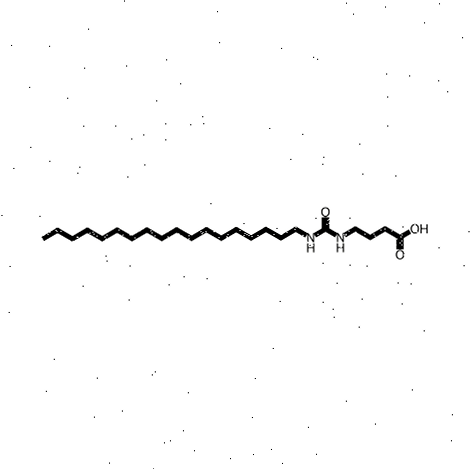 CCCCCCCCCCCCCCCCCCNC(=O)NCCCC(=O)O